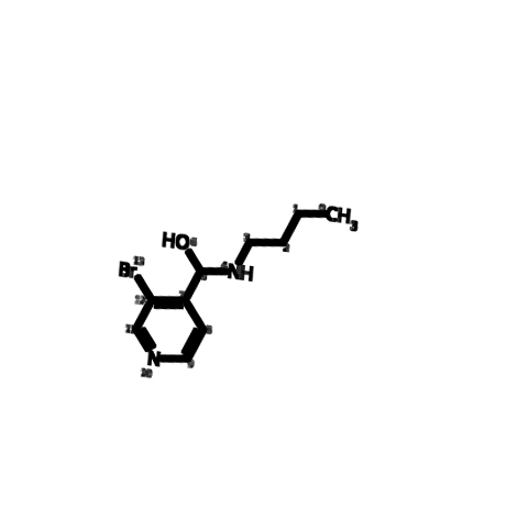 CCCCNC(O)c1ccncc1Br